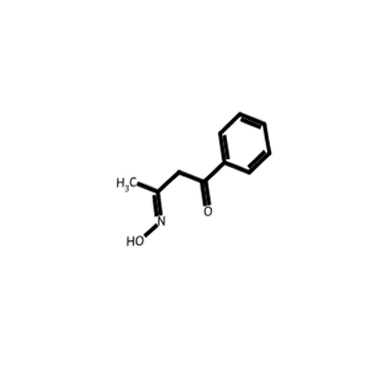 CC(CC(=O)c1ccccc1)=NO